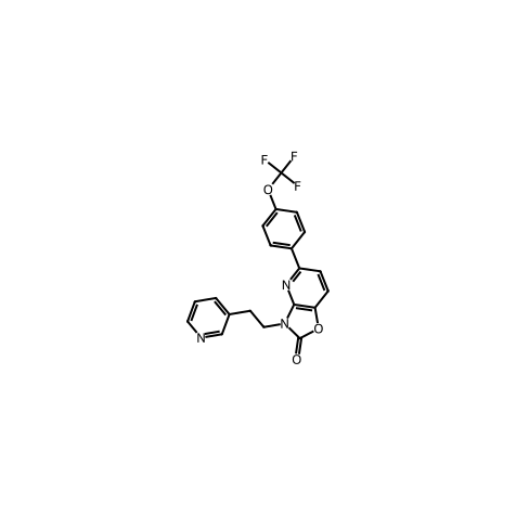 O=c1oc2ccc(-c3ccc(OC(F)(F)F)cc3)nc2n1CCc1cccnc1